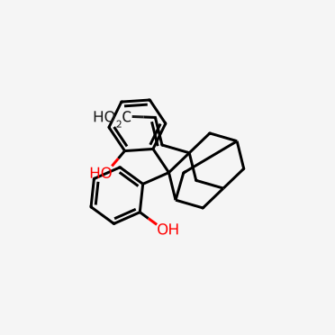 O=C(O)C=CC12CC3CC(CC(C3)C1(c1ccccc1O)c1ccccc1O)C2